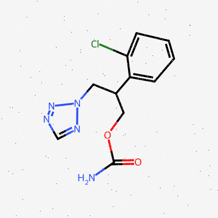 NC(=O)OCC(Cn1ncnn1)c1ccccc1Cl